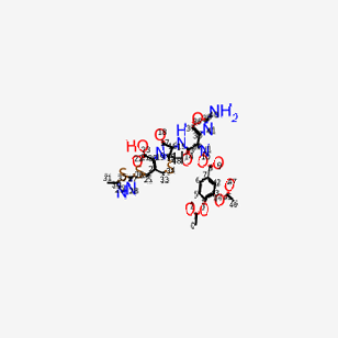 CC(=O)Oc1ccc(C(=O)O/N=C(\C(=O)N[C@@H]2C(=O)N3C(C(=O)O)=C(CSc4nnc(C)s4)CS[C@@H]23)c2coc(N)n2)cc1OC(C)=O